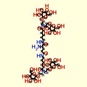 N[C@@H](CCC(=O)NCCCCCC(=O)N(CCOC1OC(CO)C(O)C(O)C1O)CCO[C@H]1O[C@H](CO)[C@@H](O)[C@H](O)[C@@H]1O)C(=O)NCCCCCC(=O)N(CCO[C@H]1O[C@H](CO)[C@@H](O)[C@H](O)[C@@H]1O)CCO[C@H]1O[C@H](CO)[C@@H](O)[C@H](O)[C@@H]1O